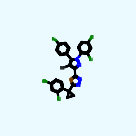 CCc1c(-c2nnc(C3(c4ccc(Cl)cc4Cl)CC3)s2)nn(-c2ccc(Cl)cc2Cl)c1-c1ccc(Br)cc1